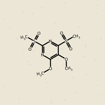 COc1nc(S(C)(=O)=O)nc(S(C)(=O)=O)c1OC